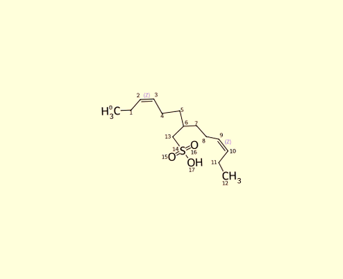 CC/C=C\CCC(CC/C=C\CC)CS(=O)(=O)O